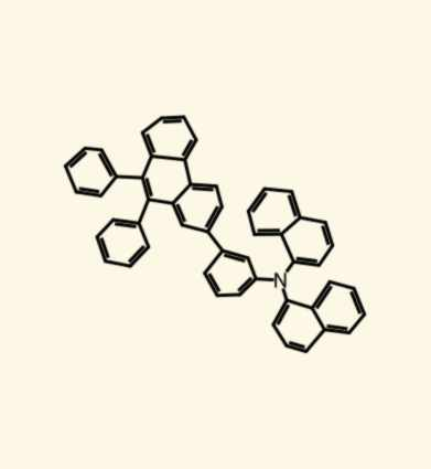 c1ccc(-c2c(-c3ccccc3)c3cc(-c4cccc(N(c5cccc6ccccc56)c5cccc6ccccc56)c4)ccc3c3ccccc23)cc1